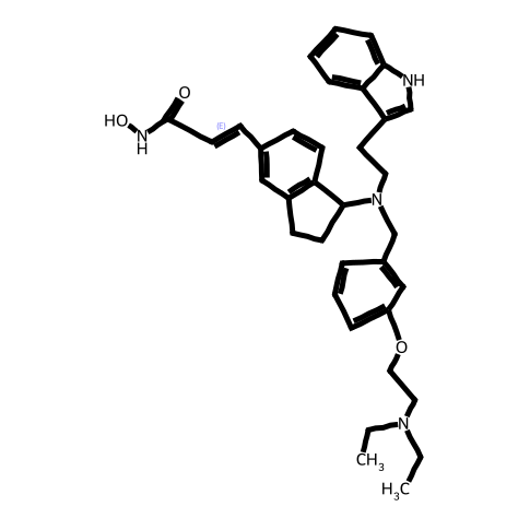 CCN(CC)CCOc1cccc(CN(CCc2c[nH]c3ccccc23)C2CCc3cc(/C=C/C(=O)NO)ccc32)c1